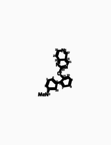 CNc1cccc(-c2ccccc2Oc2ncc3cnccc3n2)c1